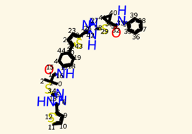 CC(C)(Sc1nnc(-c2cccs2)[nH]1)C(=O)NC1=CC=C(c2ccc(-c3nnc(SC4(C(=O)Nc5ccccc5)CC4)[nH]3)s2)CC1